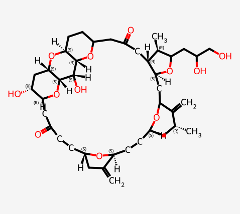 C=C1C2C[C@@H]3OC(CC(O)CO)[C@H](C)[C@H]3CC(=O)CC3CC[C@@H]4O[C@H]5C[C@@H](O)[C@@H](CC(=O)CC[C@H]6CC(=C)[C@H](CC[C@@H](C[C@H]1C)O2)O6)O[C@H]5[C@@H](O)[C@H]4O3